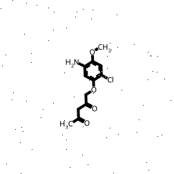 COc1cc(Cl)c(OCC(=O)CC(C)=O)cc1N